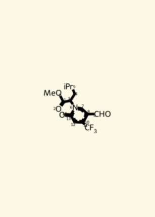 COC(=O)C(CC(C)C)n1cc(C=O)c(C(F)(F)F)cc1=O